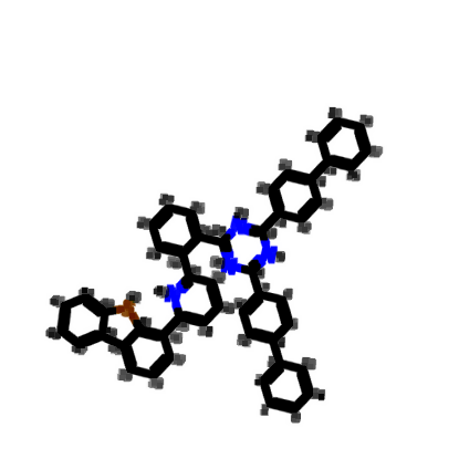 c1ccc(-c2ccc(-c3nc(-c4ccc(-c5ccccc5)cc4)nc(-c4ccccc4-c4cccc(-c5cccc6c5sc5ccccc56)n4)n3)cc2)cc1